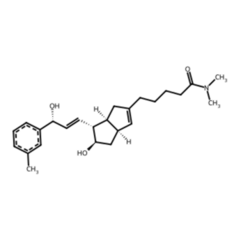 Cc1cccc([C@H](O)/C=C/[C@@H]2[C@H]3CC(CCCCC(=O)N(C)C)=C[C@H]3C[C@H]2O)c1